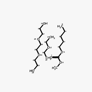 CCCCCOC(=O)OC.CCOCC.OCCOCCOCCO